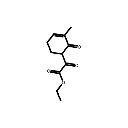 CCOC(=O)C(=O)C1CCC=C(C)C1=O